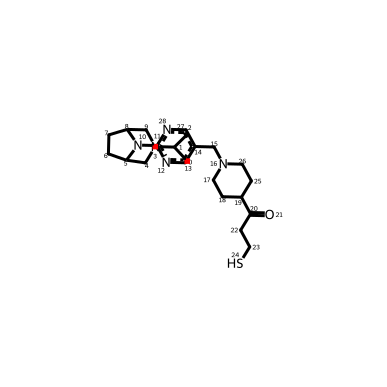 CC(C)N1CC2CCC(C1)N2c1ncc(CN2CCC(C(=O)CCS)CC2)cn1